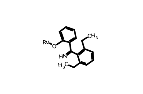 CCc1cccc(CC)c1C(=N)c1ccccc1[O][Ru]